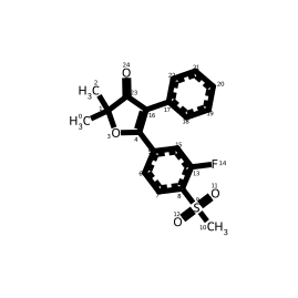 CC1(C)OC(c2ccc(S(C)(=O)=O)c(F)c2)=C(c2ccccc2)C1=O